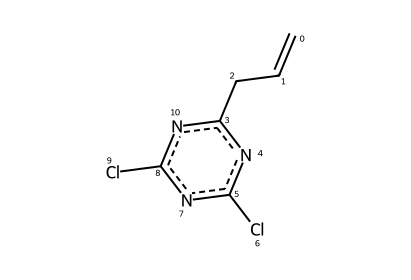 C=CCc1nc(Cl)nc(Cl)n1